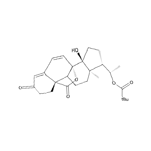 C[C@H](OC(=O)C(C)(C)C)[C@H]1CC[C@@]2(O)[C@@]34C=CC5=CC(=O)CC[C@]5(C(=O)O3)C4CC[C@]12C